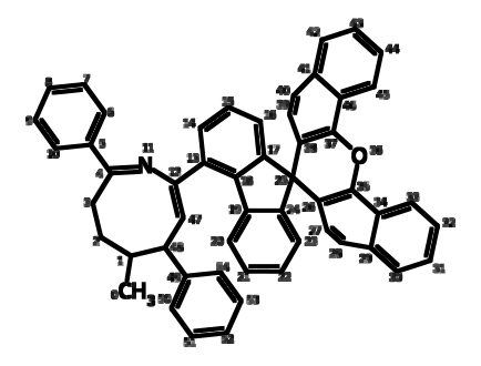 CC1CC/C(c2ccccc2)=N\C(c2cccc3c2-c2ccccc2C32c3ccc4ccccc4c3Oc3c2ccc2ccccc32)=C/C1c1ccccc1